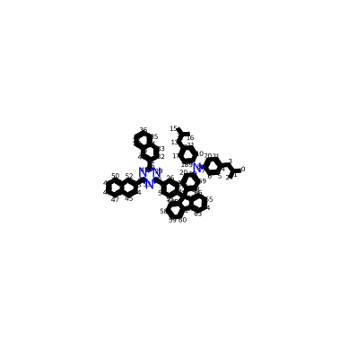 CC(C)Cc1ccc(N(c2ccc(CC(C)C)cc2)c2ccc(C3(c4ccc(-c5nc(-c6ccc7ccccc7c6)nc(-c6ccc7ccccc7c6)n5)cc4)c4ccccc4-c4ccccc43)cc2)cc1